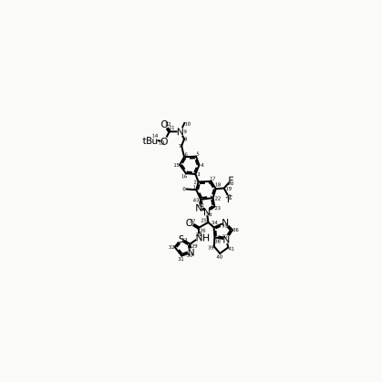 Cc1c(-c2ccc(CCN(C)C(=O)OC(C)(C)C)cc2)cc(C(F)F)c2cn(C(C(=O)Nc3nccs3)c3ncn4c3CCC4)nc12